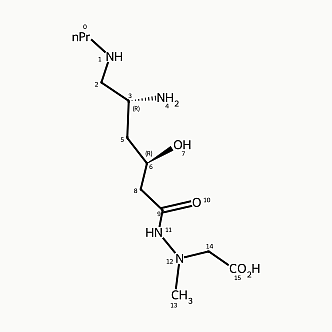 CCCNC[C@H](N)C[C@@H](O)CC(=O)NN(C)CC(=O)O